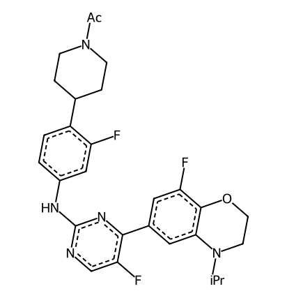 CC(=O)N1CCC(c2ccc(Nc3ncc(F)c(-c4cc(F)c5c(c4)N(C(C)C)CCO5)n3)cc2F)CC1